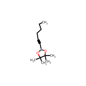 CCCCC#CB1OC(C)(C)C(C)(C)O1